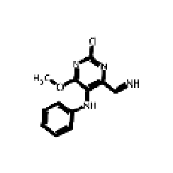 COc1nc(Cl)nc(C=N)c1Nc1ccccc1